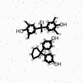 CCC(C)(c1cc(C)c(O)c(C)c1)c1cc(C)c(O)c(C)c1.Oc1ccc(C2(c3ccc(O)cc3)CCCCC2)cc1